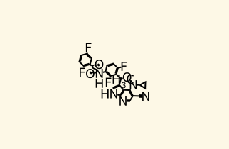 CN(c1c(C#N)cnc2[nH]cc(C(=O)c3c(F)ccc(NS(=O)(=O)c4cc(F)ccc4F)c3F)c12)C1CC1